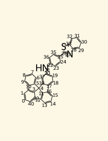 c1ccc(C2(c3ccccc3)c3ccccc3-c3ccc(Nc4ccc(-c5nc6ccccc6s5)cc4)cc32)cc1